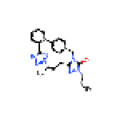 CC=CCc1nn(CCC(C)C)c(=O)n1Cc1ccc(-c2ccccc2-c2nnn[nH]2)cc1